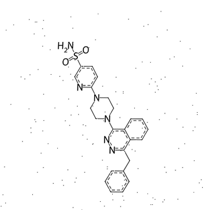 NS(=O)(=O)c1ccc(N2CCN(c3nnc(Cc4ccccc4)c4ccccc34)CC2)nc1